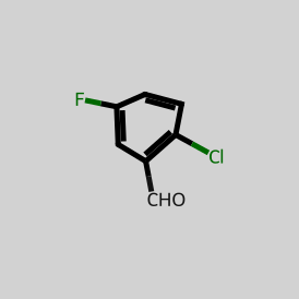 O=Cc1cc(F)ccc1Cl